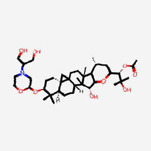 CC(=O)O[C@@H](C1C[C@@H](C)C2C(O1)[C@H](O)C1(C)[C@@H]3CC[C@H]4C(C)(C)[C@@H](OC5CN(C(CO)CO)CCO5)CC[C@@]45CC35CC[C@]21C)C(C)(C)O